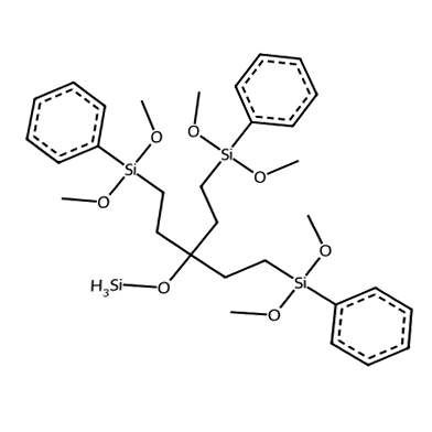 CO[Si](CCC(CC[Si](OC)(OC)c1ccccc1)(CC[Si](OC)(OC)c1ccccc1)O[SiH3])(OC)c1ccccc1